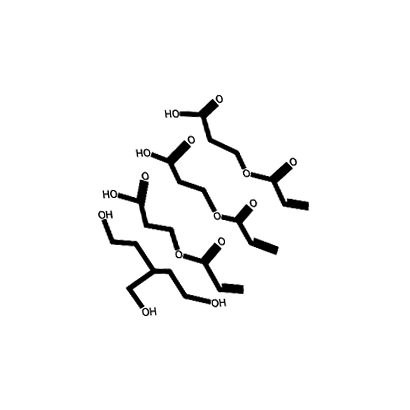 C=CC(=O)OCCC(=O)O.C=CC(=O)OCCC(=O)O.C=CC(=O)OCCC(=O)O.OCCC(CO)CCO